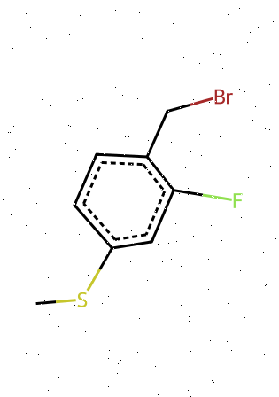 CSc1ccc(CBr)c(F)c1